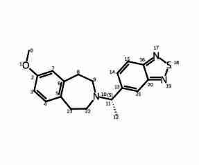 COc1ccc2c(c1)CCN([C@@H](C)c1ccc3nsnc3c1)CC2